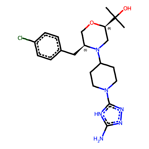 CC(C)(O)[C@H]1CN(C2CCN(c3nnc(N)[nH]3)CC2)[C@@H](Cc2ccc(Cl)cc2)CO1